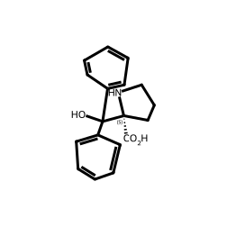 O=C(O)[C@@]1(C(O)(c2ccccc2)c2ccccc2)CCCN1